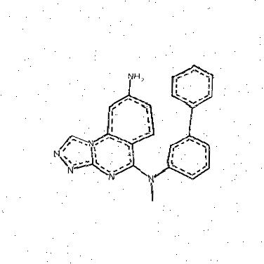 CN(c1cccc(-c2ccccc2)c1)c1nc2nncn2c2cc(N)ccc12